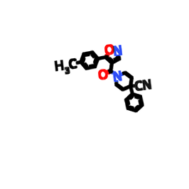 Cc1ccc(-c2oncc2C(=O)N2CCC(C#N)(c3ccccc3)CC2)cc1